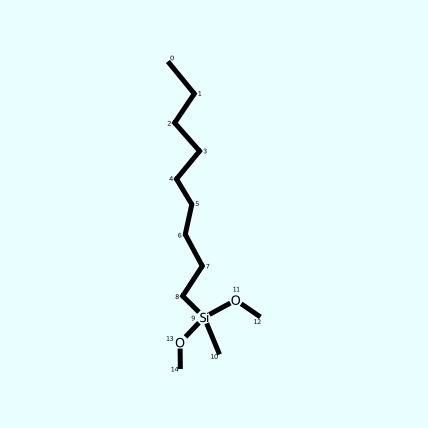 C[CH]CCCCCCC[Si](C)(OC)OC